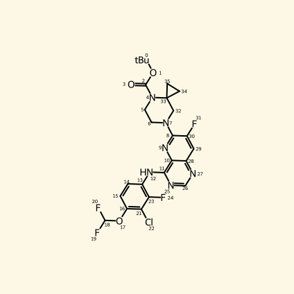 CC(C)(C)OC(=O)N1CCN(c2nc3c(Nc4ccc(OC(F)F)c(Cl)c4F)ncnc3cc2F)CC12CC2